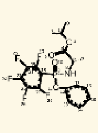 CC(C)OC(=O)[C@H](C)N[P@](=O)(Oc1ccccc1)c1c(F)c(F)c(F)c(F)c1F